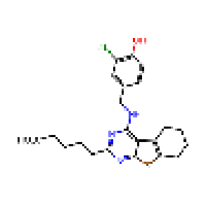 O=C(O)CCCCc1nc(NCc2ccc(O)c(Cl)c2)c2c3c(sc2n1)CCCC3